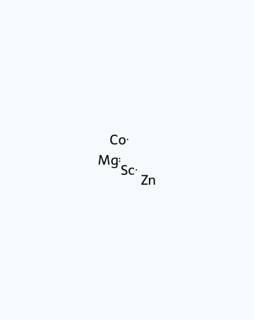 [Co].[Mg].[Sc].[Zn]